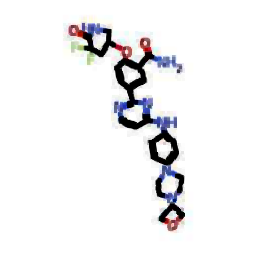 NC(=O)c1cc(-c2nccc(Nc3ccc(N4CCN(C5COC5)CC4)cc3)n2)ccc1OC1CNC(=O)C(F)(F)C1